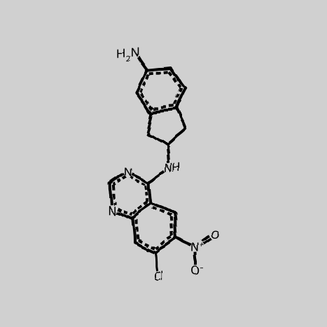 Nc1ccc2c(c1)CC(Nc1ncnc3cc(Cl)c([N+](=O)[O-])cc13)C2